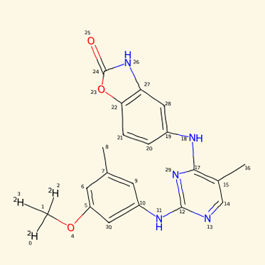 [2H]C([2H])([2H])Oc1cc(C)cc(Nc2ncc(C)c(Nc3ccc4oc(=O)[nH]c4c3)n2)c1